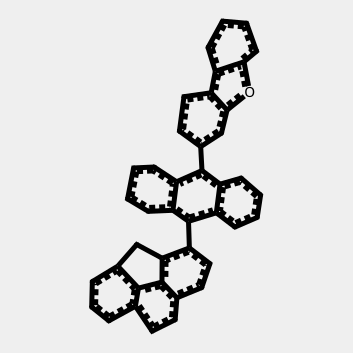 c1cc2c3c(c1)ccc1ccc(-c4c5ccccc5c(-c5ccc6c(c5)oc5ccccc56)c5ccccc45)c(c13)C2